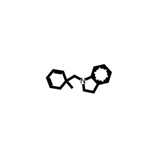 CC1(CN2CCc3ccccc32)C=CC=CC1